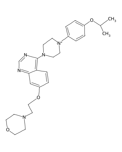 CC(C)Oc1ccc([N+]2CCN(c3ncnc4cc(OCCN5CCOCC5)ccc34)CC2)cc1